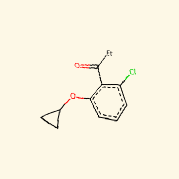 CCC(=O)c1c(Cl)cccc1OC1CC1